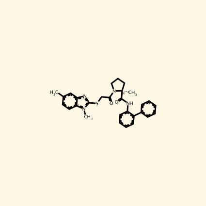 Cc1ccc2c(c1)nc(SCC(=O)N1CCC[C@@]1(C)C(=O)Nc1ccccc1-c1ccccc1)n2C